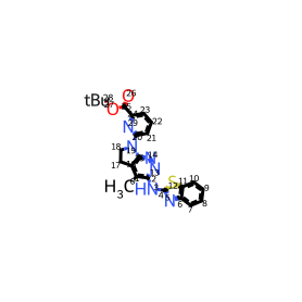 Cc1c(Nc2nc3ccccc3s2)nnc2c1CCN2c1cccc(C(=O)OC(C)(C)C)n1